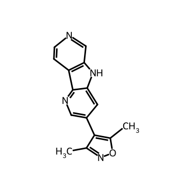 Cc1noc(C)c1-c1cnc2c(c1)[nH]c1cnccc12